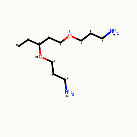 CCC(CCOCCCN)OCCCN